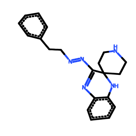 c1ccc(CCN=NC2=Nc3ccccc3NC23CCNCC3)cc1